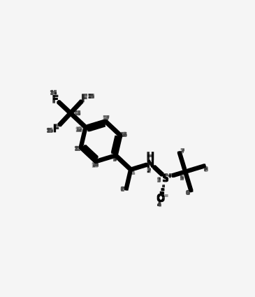 CC(N[S@@+]([O-])C(C)(C)C)c1ccc(C(F)(F)F)cc1